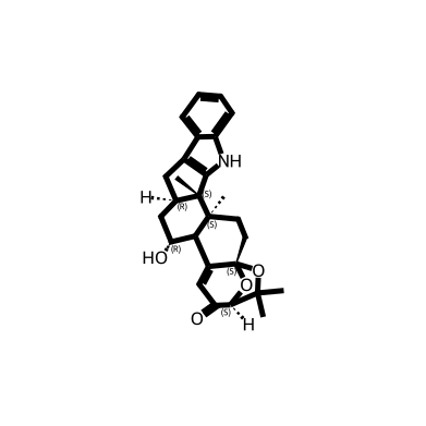 CC1(C)O[C@@]23CC[C@@]4(C)C(C2=CC(=O)[C@H]1O3)[C@H](O)C[C@H]1Cc2c([nH]c3ccccc23)[C@@]14C